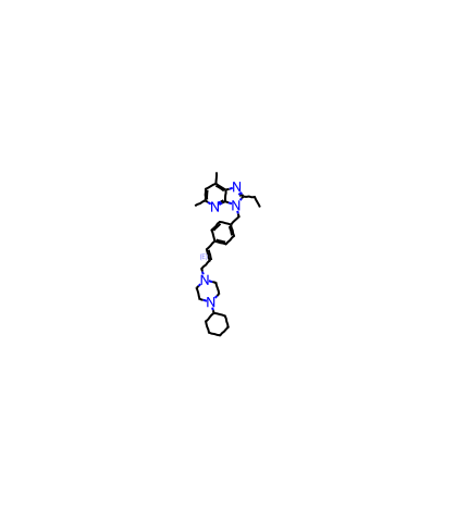 CCc1nc2c(C)cc(C)nc2n1Cc1ccc(/C=C/CN2CCN(C3CCCCC3)CC2)cc1